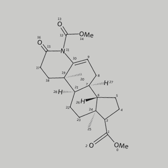 COC(=O)C1CC[C@H]2[C@@H]3CC=C4N(C(=O)OC)C(=O)CC[C@]4(C)[C@@H]3CC[C@]12C